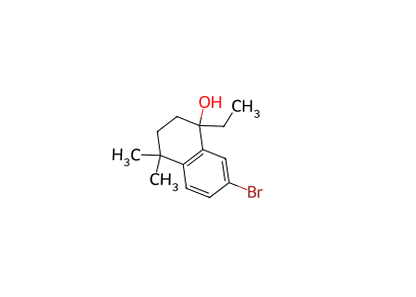 CCC1(O)CCC(C)(C)c2ccc(Br)cc21